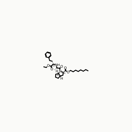 CCCCCCCCOC(=O)[C@H]1C[C@H]2CCC[C@H]2N1C(=O)[C@H](C)N[C@@H](CCc1ccccc1)C(=O)OCC